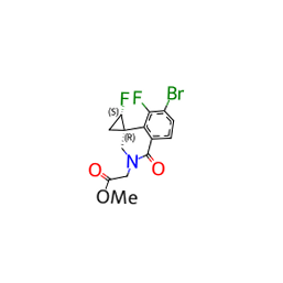 COC(=O)CN1C[C@@]2(C[C@@H]2F)c2c(ccc(Br)c2F)C1=O